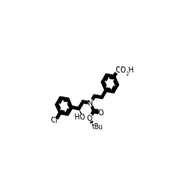 CC(C)(C)OC(=O)N(CCc1ccc(C(=O)O)cc1)C[C@H](O)c1cccc(Cl)c1